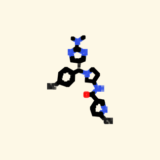 CN(C)c1ncc([C@@H](c2ccc(C#N)cc2)N2CCC(NC(=O)c3ccc(C#N)nc3)C2)cn1